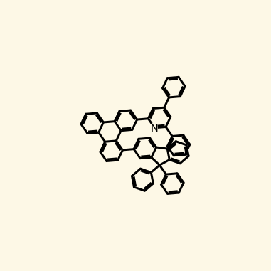 c1ccc(-c2cc(-c3ccccc3)nc(-c3ccc4c5ccccc5c5cccc(-c6ccc7c(c6)C(c6ccccc6)(c6ccccc6)c6ccccc6-7)c5c4c3)c2)cc1